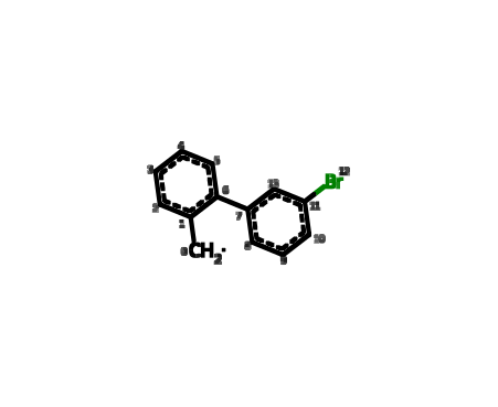 [CH2]c1ccccc1-c1cccc(Br)c1